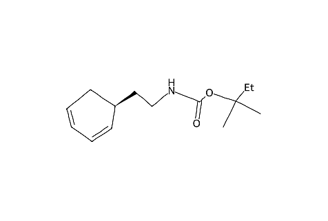 CCC(C)(C)OC(=O)NCC[C@H]1C=CC=CC1